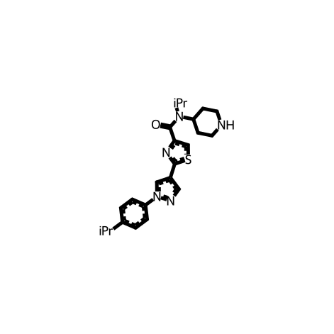 CC(C)c1ccc(-n2cc(-c3nc(C(=O)N(C(C)C)C4CCNCC4)cs3)cn2)cc1